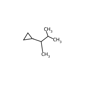 CC(C)C(C)[C]1CC1